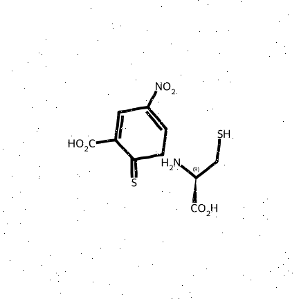 N[C@@H](CS)C(=O)O.O=C(O)C1=CC([N+](=O)[O-])=CCC1=S